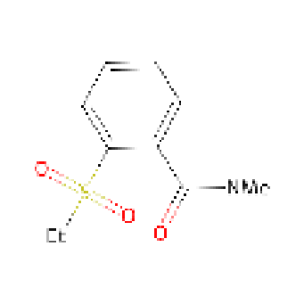 CCS(=O)(=O)c1ccccc1C(=O)NC